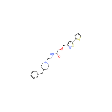 O=C(COCc1cc(-c2cccs2)sn1)NCCN1CCC(Cc2ccccc2)CC1